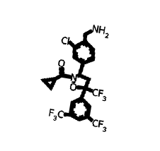 NCc1ccc(C2CC(c3cc(C(F)(F)F)cc(C(F)(F)F)c3)(C(F)(F)F)ON2C(=O)C2CC2)cc1Cl